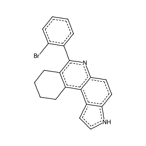 Brc1ccccc1-c1nc2ccc3[nH]ccc3c2c2c1CCCC2